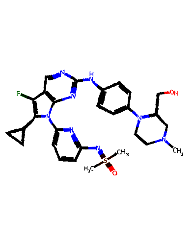 CN1CCN(c2ccc(Nc3ncc4c(F)c(C5CC5)n(-c5cccc(N=S(C)(C)=O)n5)c4n3)cc2)C(CO)C1